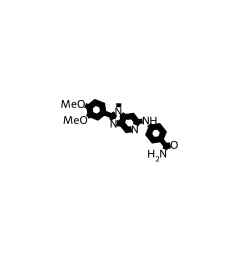 COc1ccc(-c2nc3cnc(Nc4ccc(C(N)=O)cc4)cc3n2C)cc1OC